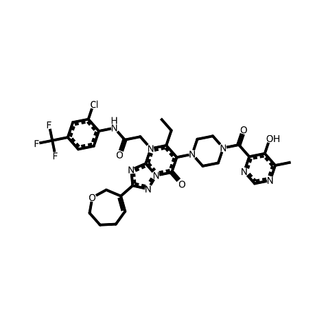 CCc1c(N2CCN(C(=O)c3ncnc(C)c3O)CC2)c(=O)n2nc(C3=CCCCOC3)nc2n1CC(=O)Nc1ccc(C(F)(F)F)cc1Cl